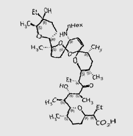 CCCCCCN[C@@H]1C=CC2(O[C@H]([C@@H](CC)C(=O)[C@@H](C)[C@@H](O)[C@H](C)[C@@H]3O[C@@H]([C@@H](CC)C(=O)O)CC[C@@H]3C)[C@@H](C)C[C@H]2C)O[C@@]12CC[C@@](C)([C@H]1CC[C@](O)(CC)[C@H](C)O1)O2